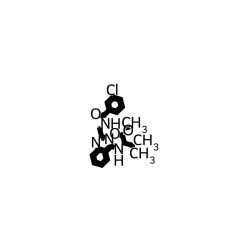 COC(=O)[C@@H](Nc1nc(CNC(=O)c2cccc(Cl)c2)nc2ccccc12)C(C)C